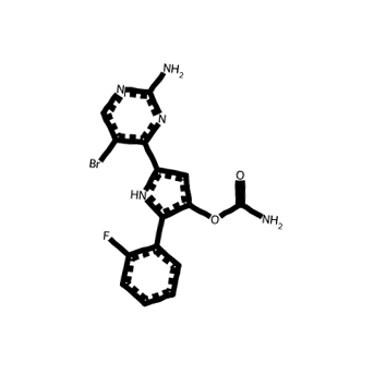 NC(=O)Oc1cc(-c2nc(N)ncc2Br)[nH]c1-c1ccccc1F